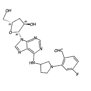 O=Cc1ccc(F)cc1N1CCC(Nc2ncnc3c2ncn3[C@@H]2O[C@H](CO)C[C@H]2O)C1